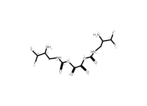 NC(CNC(=O)OC(=O)C(=O)OC(=O)NCC(N)C(F)F)C(F)F